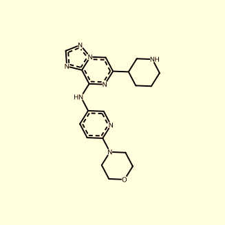 c1nc2c(Nc3ccc(N4CCOCC4)nc3)nc(C3CCCNC3)cn2n1